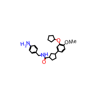 COc1ccc(C2CCC(C(=O)NCc3ccc(N)cc3)C2)cc1OC1CCCC1